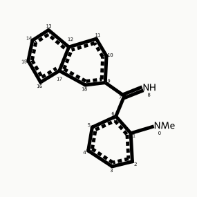 CNc1ccccc1C(=N)c1ccc2ccccc2c1